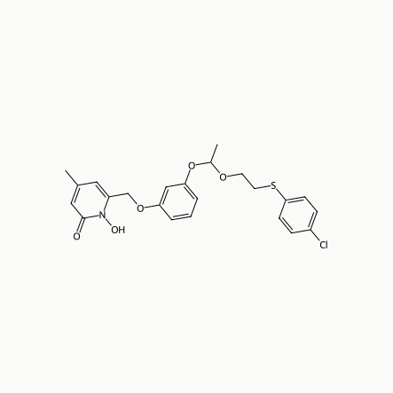 Cc1cc(COc2cccc(OC(C)OCCSc3ccc(Cl)cc3)c2)n(O)c(=O)c1